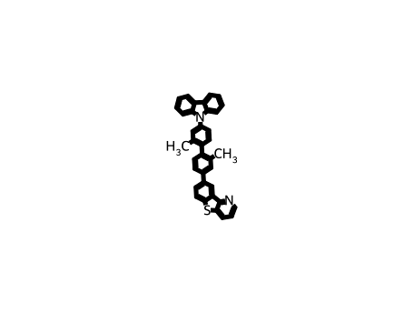 Cc1cc(-c2ccc3sc4cccnc4c3c2)ccc1-c1ccc(-n2c3ccccc3c3ccccc32)cc1C